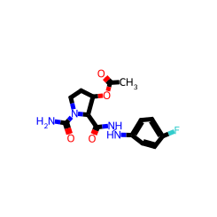 CC(=O)OC1CCN(C(N)=O)C1C(=O)NNc1ccc(F)cc1